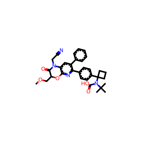 COCC1Oc2nc(-c3ccc(C4(N(C(=O)O)C(C)(C)C)CCC4)cc3)c(-c3ccccc3)cc2N(CC#N)C1=O